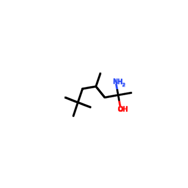 CC(CC(C)(C)C)CC(C)(N)O